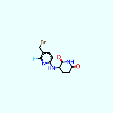 O=C1CCC(Nc2ccc(CBr)c(F)n2)C(=O)N1